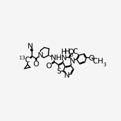 COc1ccc(N2C(=O)Nc3c(C(=O)N[C@@H]4CCCN(C(=O)/C(C#N)=[13CH]\C5CC5)C4)sc4nccc2c34)c(C)c1